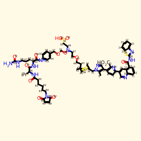 Cc1c(-c2ccc(-c3cnc4cccc(C(=O)Nc5nc6ccccc6s5)c4c3)nc2C(=O)O)cnn1CC1=S2(C)(C1)CC2(C)CCOCCN(CCS(=O)O)OCOCc1ccc(NC(=O)[C@H](CCCNC(N)=O)NC(=O)C(NC(=O)CCCCCN2C(=O)C=CC2=O)C(C)C)cc1